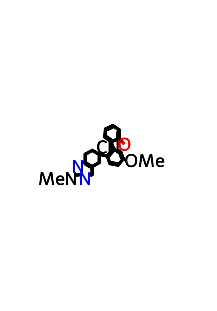 CNc1ncc2c(n1)CCC(C#N)(c1ccc(OC)c3oc4ccccc4c13)C2